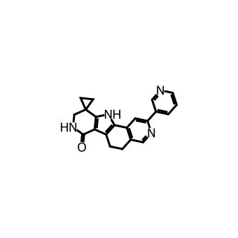 O=C1NCC2(CC2)c2[nH]c3c(c21)CCc1cnc(-c2cccnc2)cc1-3